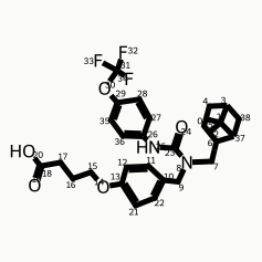 CC1(C)C2CCC(CN(Cc3ccc(OCCCC(=O)O)cc3)C(=O)Nc3ccc(OC(F)(F)F)cc3)C1C2